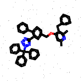 Cc1cc(OCc2ccc(-c3ccccc3)c(-c3nnn(C(c4ccccc4)(c4ccccc4)c4ccccc4)n3)c2)c(Cc2ccccc2)c(C)n1